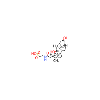 CC(CCC(=O)NCCS(=O)(=O)O)C1CCC2C3CC[C@@H]4C[C@H](O)CC[C@]4(C)C3C[C@H](O)[C@]12C